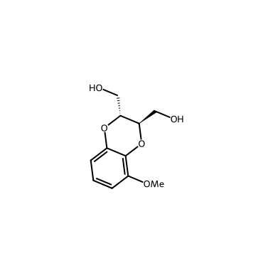 COc1cccc2c1O[C@H](CO)[C@@H](CO)O2